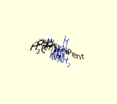 CCC[C@H](C)Nc1nc(N)c2ncc(Cc3cnc(C4CCCCC4)c(C)c3)n2n1